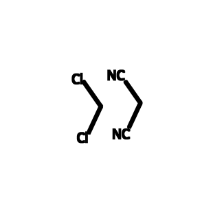 ClCCl.N#CCC#N